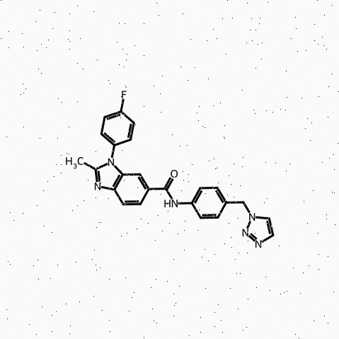 Cc1nc2ccc(C(=O)Nc3ccc(Cn4ccnn4)cc3)cc2n1-c1ccc(F)cc1